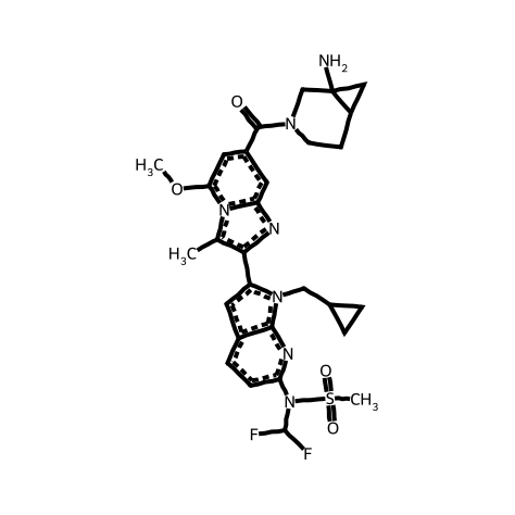 COc1cc(C(=O)N2CCC3CC3(N)C2)cc2nc(-c3cc4ccc(N(C(F)F)S(C)(=O)=O)nc4n3CC3CC3)c(C)n12